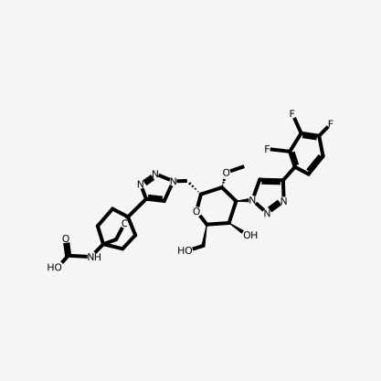 CO[C@@H]1[C@@H](n2cc(-c3ccc(F)c(F)c3F)nn2)[C@@H](O)[C@@H](CO)O[C@@H]1Cn1cc(C23CCC(NC(=O)O)(CC2)CC3)nn1